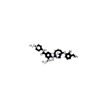 CPc1cc(C(=O)NC2CCN(C)CC2)ccc1NC1=C/CCC/C(Oc2cccc(CC(C)C)c2C(C)=O)=C(C(F)(F)F)/C=N\1